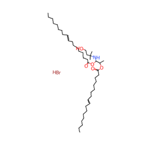 Br.CCCCCCCCC=CCCCCCCCC(=O)OC(C)C(NC(C)(C)CCO)OC(=O)CCCCCCCC=CCCCCCCCC